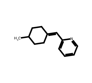 CC1CCC(=Cc2ccccn2)CC1